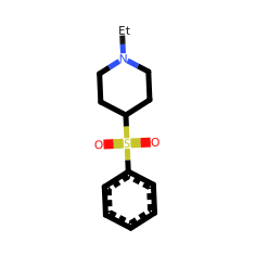 CCN1CCC(S(=O)(=O)c2ccccc2)CC1